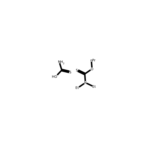 CCCOC(=S)N(CC)CC.NC(O)=S